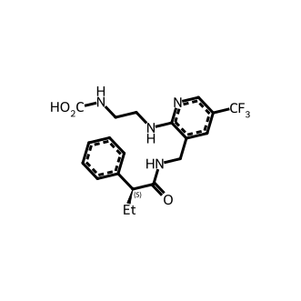 CC[C@H](C(=O)NCc1cc(C(F)(F)F)cnc1NCCNC(=O)O)c1ccccc1